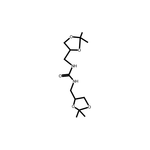 CC1(C)OCC(CNC(=O)NCC2COC(C)(C)O2)O1